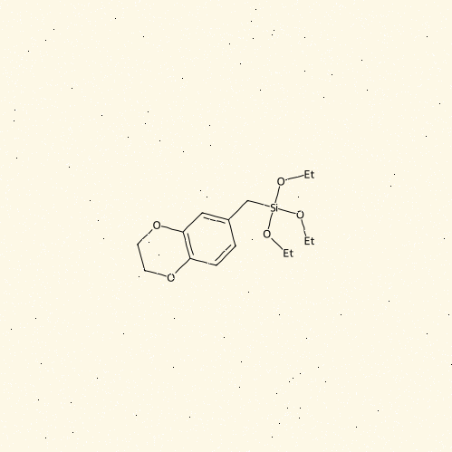 CCO[Si](Cc1ccc2c(c1)OCCO2)(OCC)OCC